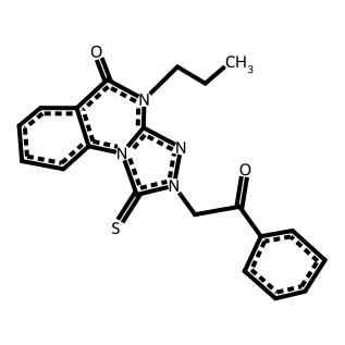 CCCn1c(=O)c2ccccc2n2c(=S)n(CC(=O)c3ccccc3)nc12